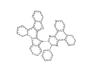 c1ccc(-c2nc3c4ccccc4c4ccncc4c3nc2-n2c3ccccc3c3c4ccccc4c4c5ccccc5sc4c32)cc1